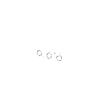 Cc1ccccc1C(=O)c1ccc(Nc2ccc(Cl)c(F)c2)cc1Cl